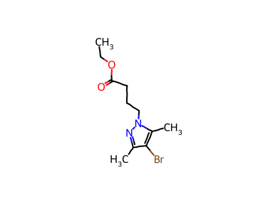 CCOC(=O)CCCn1nc(C)c(Br)c1C